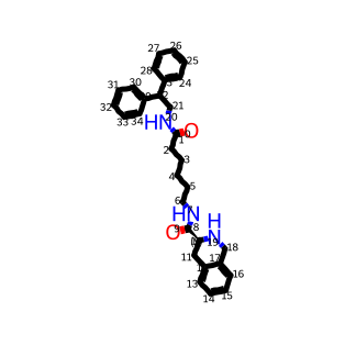 O=C(CCCCCNC(=O)[C@@H]1Cc2ccccc2CN1)NCC(c1ccccc1)c1ccccc1